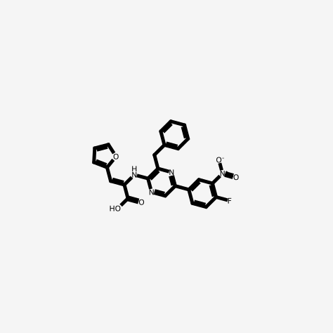 O=C(O)/C(=C/c1ccco1)Nc1ncc(-c2ccc(F)c([N+](=O)[O-])c2)nc1Cc1ccccc1